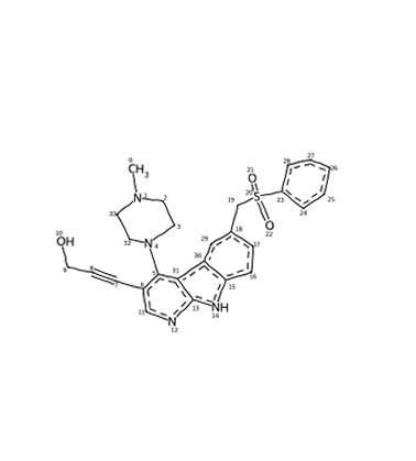 CN1CCN(c2c(C#CCO)cnc3[nH]c4ccc(CS(=O)(=O)c5ccccc5)cc4c23)CC1